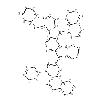 c1ccc(-c2nc(-n3c4ccccc4c4c3ccc3c5c6oc7ccccc7c6ccc5n(-c5cccc6ccccc56)c34)nc3c2ccc2ccccc23)cc1